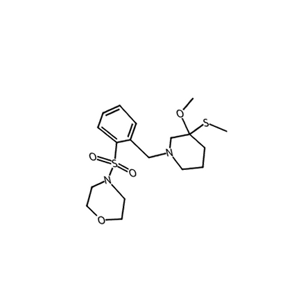 COC1(SC)CCCN(Cc2ccccc2S(=O)(=O)N2CCOCC2)C1